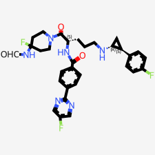 O=CNC1(F)CCN(C(=O)[C@H](CCCN[C@@H]2C[C@H]2c2ccc(F)cc2)NC(=O)c2ccc(-c3ncc(F)cn3)cc2)CC1